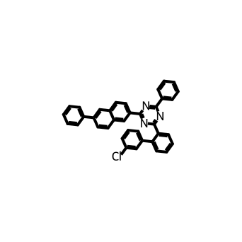 Clc1cccc(-c2ccccc2-c2nc(-c3ccccc3)nc(-c3ccc4cc(-c5ccccc5)ccc4c3)n2)c1